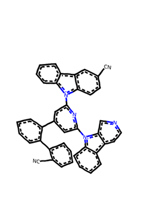 N#Cc1ccc2c(c1)c1ccccc1n2-c1cc(-c2ccccc2-c2ccccc2C#N)cc(-n2c3ccccc3c3ccncc32)n1